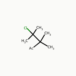 CC(=O)C(C)(C)C(C)(C)Cl